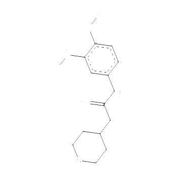 COc1ccc(CC(=O)CC2CCNCC2)cc1OC.Cl